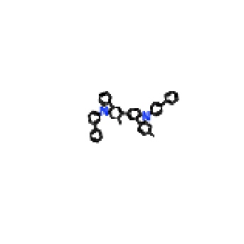 CC1C=Cc2c(n(-c3ccc(-c4ccccc4)cc3)c3ccc(C4=Cc5c(n(-c6cccc(-c7ccccc7)c6)c6ccccc56)CC4C)cc23)C1